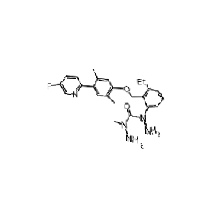 CCc1cccc(N(N)C(=O)N(C)N)c1COc1cc(C)c(-c2ccc(F)cn2)cc1C